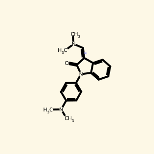 CN(C)/C=C1\C(=O)N(c2ccc(N(C)C)cc2)c2ccccc21